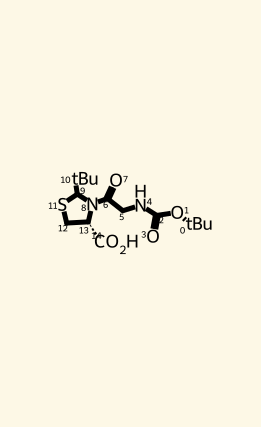 CC(C)(C)OC(=O)NCC(=O)N1C(C(C)(C)C)SC[C@H]1C(=O)O